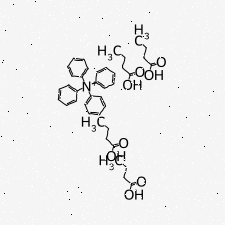 CCCC(=O)O.CCCC(=O)O.CCCC(=O)O.CCCC(=O)O.c1ccc([N+](c2ccccc2)(c2ccccc2)c2ccccc2)cc1